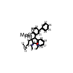 C/C=C\C(=C/C)C(O)(CCN(C)C)C(c1ccccc1)c1cc(-c2ccccc2)cnc1OC